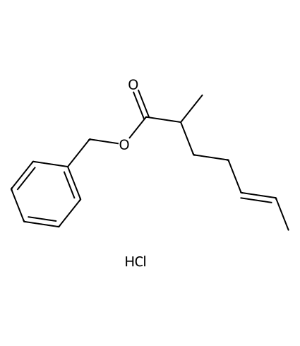 CC=CCCC(C)C(=O)OCc1ccccc1.Cl